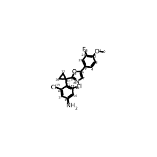 COc1ccc(-c2cnc(C3(c4c(Cl)cc(N)cc4Cl)CC3)o2)cc1F